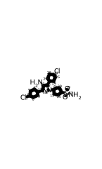 Nc1c(-c2ccc(Cl)cc2)nn(-c2ccc(S(N)(=O)=O)cc2)c1-c1ccc(Cl)cc1